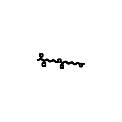 COCCCCCC(=O)OCCCC[C@@H](Cl)C(C)=O